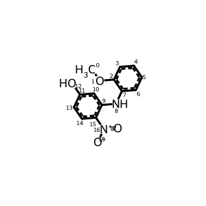 COc1ccccc1Nc1cc(O)ccc1[N+](=O)[O-]